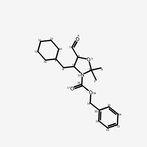 CC1(C)OC(C=O)C(CC2CCCCC2)N1C(=O)OCc1ccccc1